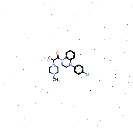 CC(C(=O)N1CCN(c2ccc(Cl)cc2)c2ccccc21)N1CCN(C)CC1